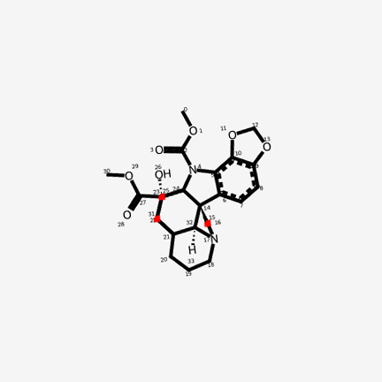 COC(=O)N1c2c(ccc3c2OCO3)[C@@]23CCN4CCCC5(CCC12[C@](O)(C(=O)OC)C5)[C@H]43